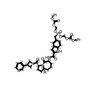 CC(C)OC(=O)OCOP(=O)(Cc1ccc2[nH]c(C(=O)N[C@H]3CCC[C@H]4CC[C@@H](C(=O)N5CC(c6cccnc6)C5)N4C3=O)cc2c1)OCOC(=O)OC(C)C